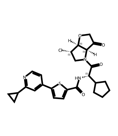 O=C(N[C@H](C(=O)N1C[C@H](Cl)[C@H]2OCC(=O)[C@H]21)C1CCCC1)c1ccc(-c2ccnc(C3CC3)c2)s1